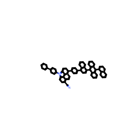 N#Cc1ccc2c3c1ccc1c(-c4ccc(-c5ccc(-c6c7ccccc7c(-c7cccc8ccccc78)c7ccccc67)c6ccccc56)cc4)ccc(c13)n2-c1ccc(-c2ccccc2)cc1